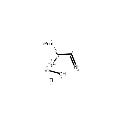 CCC[C@@H](C)[C@@H](C)C=N.CCO.[Ti]